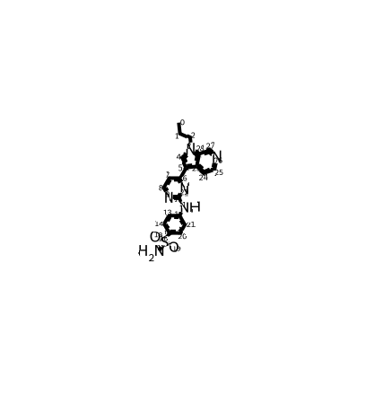 CCCn1cc(-c2ccnc(Nc3ccc(S(N)(=O)=O)cc3)n2)c2ccncc21